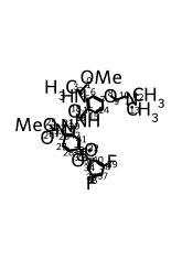 COCC(C)Nc1cc(OCCN(C)C)ccc1C(=O)Nc1nn(C(=O)OC)c2ccc(S(=O)(=O)c3cc(F)cc(F)c3)cc12